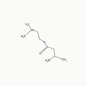 CC(N)CC(=O)OCC[SH](C)C